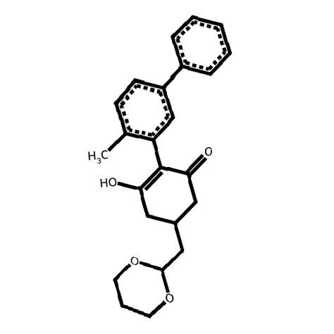 Cc1ccc(-c2ccccc2)cc1C1=C(O)CC(CC2OCCCO2)CC1=O